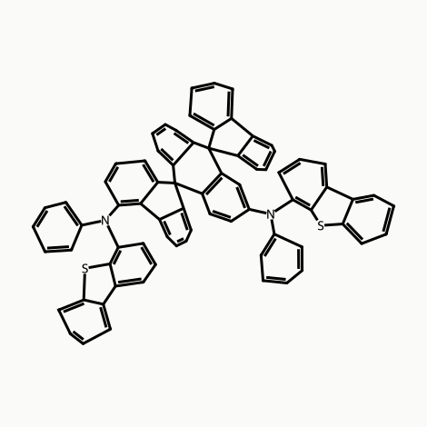 c1ccc(N(c2ccc3c(c2)C2(c4ccccc4-c4ccccc42)c2ccccc2C32c3ccccc3-c3c(N(c4ccccc4)c4cccc5c4sc4ccccc45)cccc32)c2cccc3c2sc2ccccc23)cc1